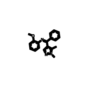 COc1ccccc1N=C(c1ccccc1)c1cnn(C)c1C